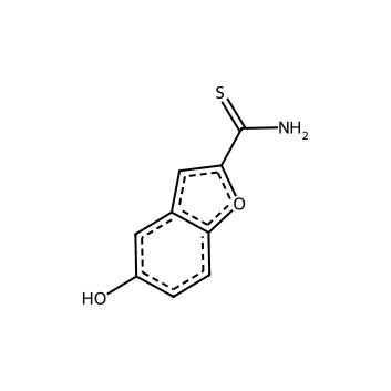 NC(=S)c1cc2cc(O)ccc2o1